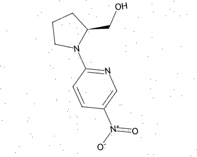 O=[N+]([O-])c1ccc(N2CCC[C@H]2CO)nc1